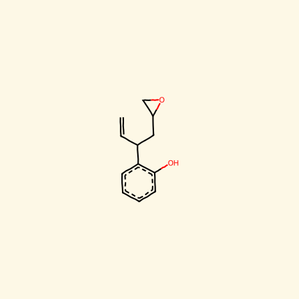 C=CC(CC1CO1)c1ccccc1O